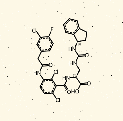 O=C(Cc1ccc(F)c(Cl)c1)Nc1ccc(Cl)c(C(=O)N[C@@H](CNC(=O)N[C@@H]2CCc3ccccc32)C(=O)O)c1Cl